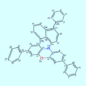 c1ccc(-c2ccc3c(c2)oc2cc(-c4ccccc4)cc4c2-n3c2ccc(-c3ccccc3)c3cccc4c32)cc1